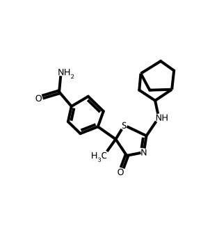 CC1(c2ccc(C(N)=O)cc2)SC(NC2CC3CCC2C3)=NC1=O